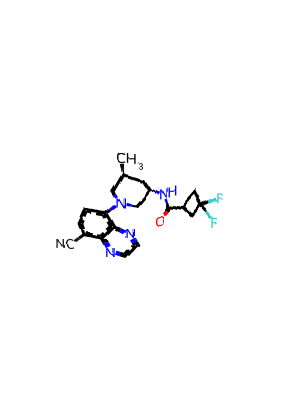 C[C@H]1C[C@@H](NC(=O)C2CC(F)(F)C2)CN(c2ccc(C#N)c3nccnc23)C1